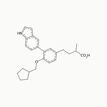 CC(CCc1ccc(OCC2CCCC2)c(-c2ccc3[nH]ccc3c2)c1)C(=O)O